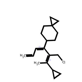 C=C/C=C(\C(CCl)=C(/C)C1CC1)C1CCC2(CC1)CC2